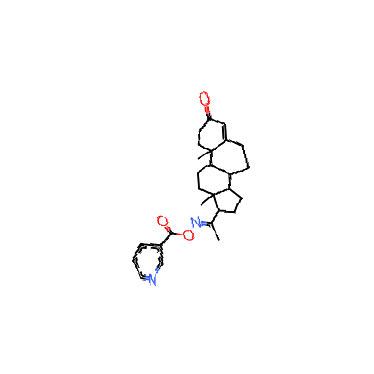 CC(=NOC(=O)c1cccnc1)C1CCC2C3CCC4=CC(=O)CCC4(C)C3CCC12C